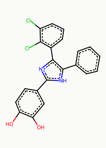 Oc1ccc(-c2nc(-c3cccc(Cl)c3Cl)c(-c3ccccc3)[nH]2)cc1O